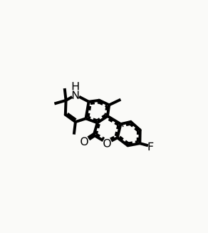 CC1=CC(C)(C)Nc2cc(C)c3c(c21)c(=O)oc1cc(F)ccc13